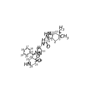 CC1(C)CCc2c(C(=O)Nc3cnn(C(c4ccccc4)C4CNCCS4(=O)=O)c3)n[nH]c2C1